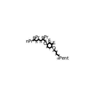 CCCC(C)CCCCOC1CCC(OCC(CCC)CCCC(CCC)CCC)C(F)C1F